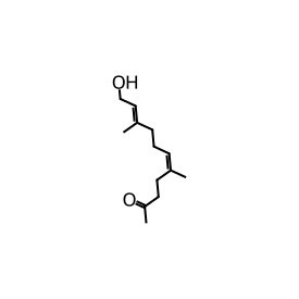 CC(=O)CCC(C)=CCC/C(C)=C/CO